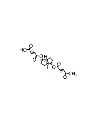 CC(=O)/C=C/C(=O)O[C@@H]1CC[C@H]2[C@@H]1CC[C@H]2OC(=O)/C=C/C(=O)O